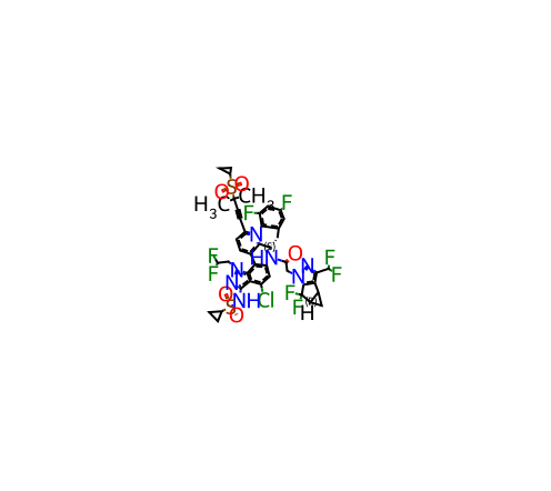 CC(C)(C#Cc1ccc(-c2ccc(Cl)c3c(NS(=O)(=O)C4CC4)nn(CC(F)F)c23)c([C@H](Cc2cc(F)cc(F)c2)NC(=O)Cn2nc(C(F)F)c3c2C(F)(F)[C@@H]2CC32)n1)S(=O)(=O)C1CC1